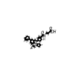 O=C(O)CCNC(=O)c1ccc(CCC2C=C(c3ccccc3)C=CC2(OC2CCCC2)OC(F)(F)F)cc1